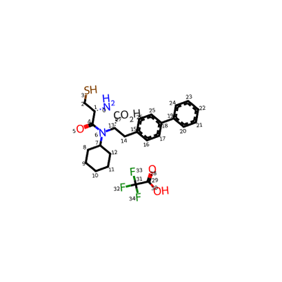 N[C@@H](CS)C(=O)N(C1CCCCC1)[C@@H](Cc1ccc(-c2ccccc2)cc1)C(=O)O.O=C(O)C(F)(F)F